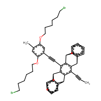 CC#Cc1c2c(c(C#Cc3cc(OCCCCCCBr)c(C)cc3OCCCCCCBr)c3c1C1c4ccccc4C3c3ccccc31)C1c3ccccc3C2c2ccccc21